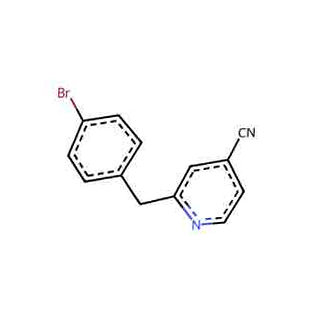 N#Cc1ccnc(Cc2ccc(Br)cc2)c1